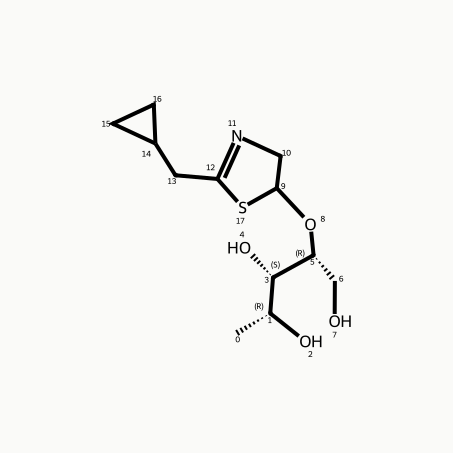 C[C@@H](O)[C@H](O)[C@@H](CO)OC1CN=C(CC2CC2)S1